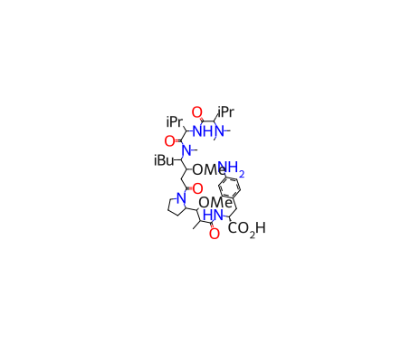 CCC(C)C(C(CC(=O)N1CCCC1C(OC)C(C)C(=O)N[C@@H](Cc1ccc(N)cc1)C(=O)O)OC)N(C)C(=O)C(NC(=O)C(C(C)C)N(C)C)C(C)C